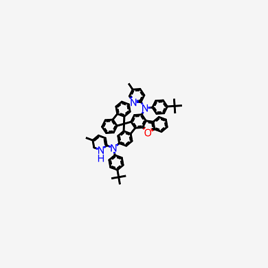 CC1=CC=C(N(c2ccc(C(C)(C)C)cc2)c2ccc3c(c2)C2(c4ccccc4-c4ccccc42)c2cc(N(c4ccc(C(C)(C)C)cc4)c4ccc(C)cn4)c4c(oc5ccccc54)c2-3)NC1